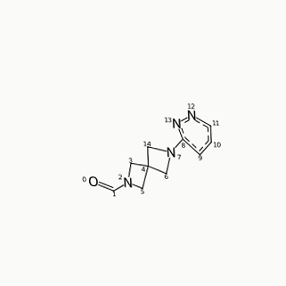 O=CN1CC2(C1)CN(c1cccnn1)C2